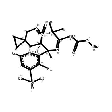 CC[Si](CC)(CC)c1cc(Br)nc([C@@]2(C)N=C(NC(=O)OC(C)(C)C)C(C)(C)[S@@]3(=O)=NCC4(CC4)C[C@H]23)c1F